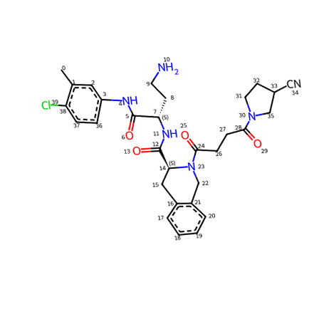 Cc1cc(NC(=O)[C@H](CCN)NC(=O)[C@@H]2Cc3ccccc3CN2C(=O)CCC(=O)N2CCC(C#N)C2)ccc1Cl